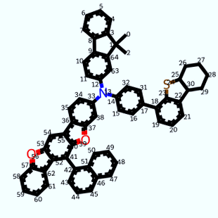 CC1(C)c2ccccc2-c2ccc(N(c3ccc(-c4cccc5c4SC4CCCCC54)cc3)c3ccc4c(c3)oc3c(-c5cccc6ccccc56)c5c(cc34)oc3ccccc35)cc21